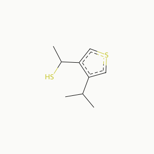 CC(C)c1cscc1C(C)S